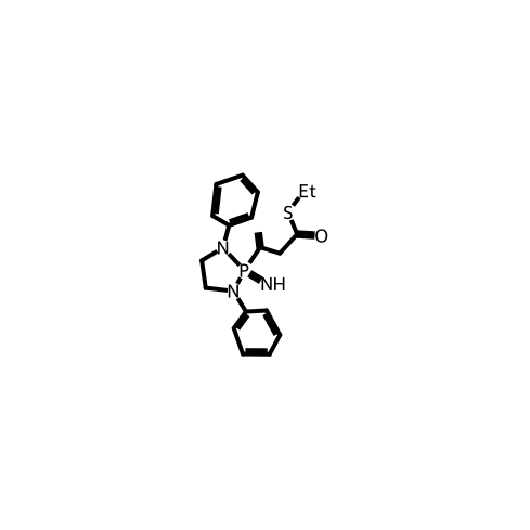 C=C(CC(=O)SCC)P1(=N)N(c2ccccc2)CCN1c1ccccc1